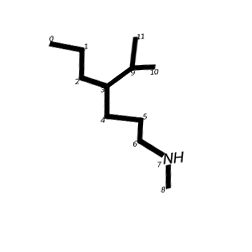 CCCC(CCCNC)C(C)C